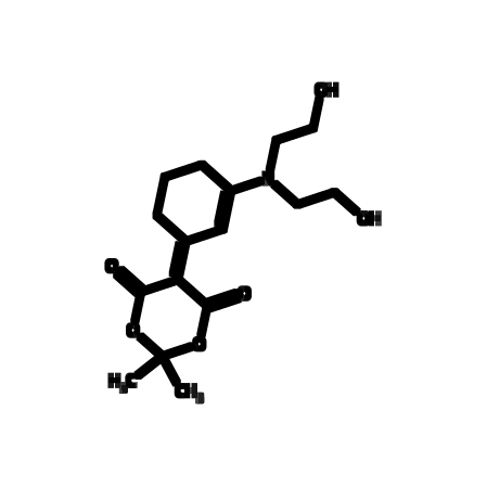 CC1(C)OC(=O)C(=C2C=C(N(CCO)CCO)CCC2)C(=O)O1